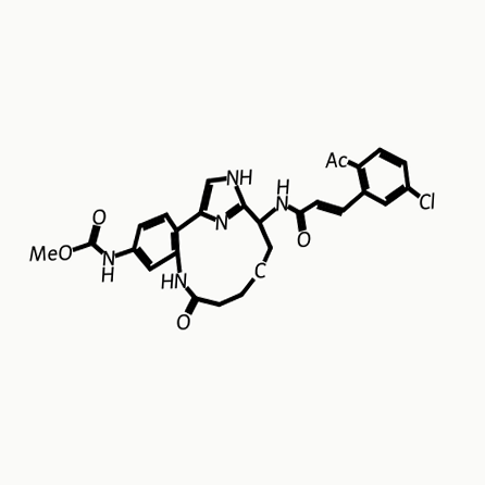 COC(=O)Nc1ccc2c(c1)NC(=O)CCCCC(NC(=O)C=Cc1cc(Cl)ccc1C(C)=O)c1nc-2c[nH]1